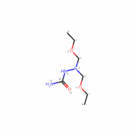 CCOCN(COCC)NC(N)=O